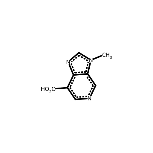 Cn1cnc2c(C(=O)O)cncc21